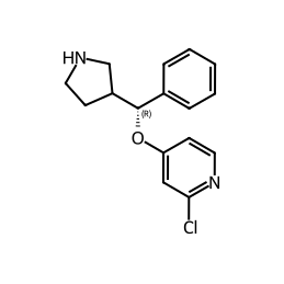 Clc1cc(O[C@@H](c2ccccc2)C2CCNC2)ccn1